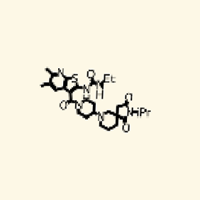 CCNC(=O)Nc1sc2nc(C)c(C)cc2c1C(=O)N1CCC(N2CCCC3(CC(=O)N(C(C)C)C3=O)C2)CC1